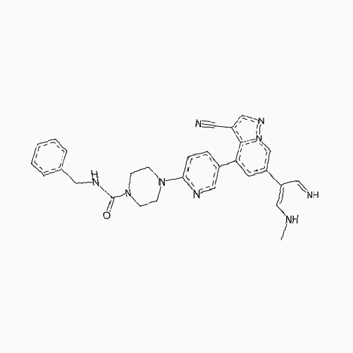 CN/C=C(\C=N)c1cc(-c2ccc(N3CCN(C(=O)NCc4ccccc4)CC3)nc2)c2c(C#N)cnn2c1